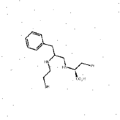 CC(C)C[C@H](NCC(Cc1ccccc1)NCCS)C(=O)O